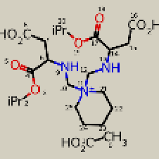 CC(=O)O.CC(C)OC(=O)C(CC(=O)O)NC[N+]1(CNC(CC(=O)O)C(=O)OC(C)C)CCCCC1